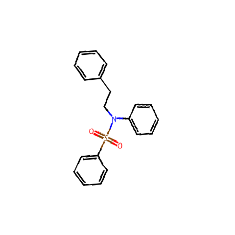 O=S(=O)(c1ccccc1)N(CCc1ccccc1)c1ccccc1